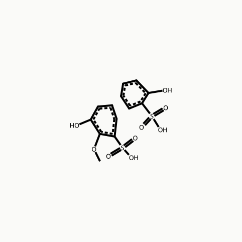 COc1c(O)cccc1S(=O)(=O)O.O=S(=O)(O)c1ccccc1O